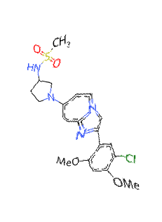 COc1cc(OC)c(-c2cn3ccc(N4CCC(NS(C)(=O)=O)C4)cc3n2)cc1Cl